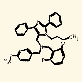 CCCCn1c(-c2ccccc2)nc(-c2ccccc2)c1CN(Cc1ccc(OC)cc1)Cc1c(F)cccc1Cl